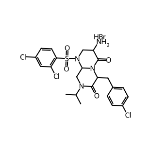 Br.CC(C)N1CC2N(C(=O)C(N)CN2S(=O)(=O)c2ccc(Cl)cc2Cl)C(Cc2ccc(Cl)cc2)C1=O